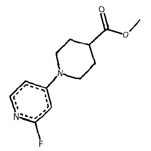 COC(=O)C1CCN(c2ccnc(F)c2)CC1